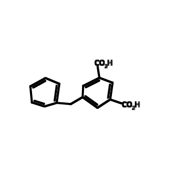 O=C(O)c1cc(Cc2ccccc2)cc(C(=O)O)c1